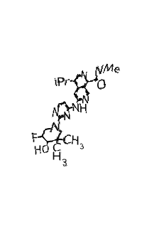 CNC(=O)c1ncc(C(C)C)c2cc(Nc3ccnc(N4CC(F)C(O)C(C)(C)C4)n3)ncc12